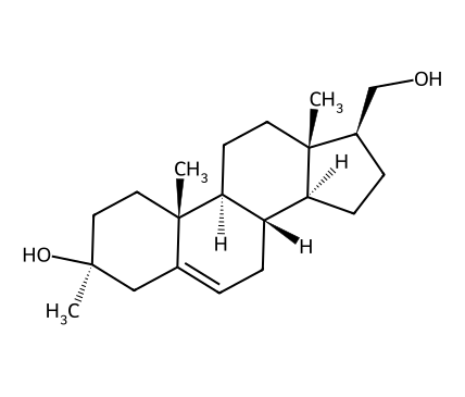 C[C@]1(O)CC[C@@]2(C)C(=CC[C@H]3[C@@H]4CC[C@H](CO)[C@@]4(C)CC[C@@H]32)C1